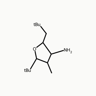 CC1C(N)C(CC(C)(C)C)OC1C(C)(C)C